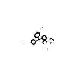 COc1ccc(C(O[C@H]2[C@@H](O)[C@H](n3ccc(=O)[nH]c3=O)O[C@@H]2CO)(c2ccccc2)c2ccc(OC)cc2)cc1